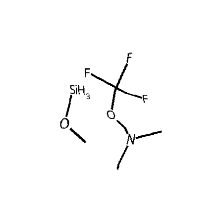 CN(C)OC(F)(F)F.CO[SiH3]